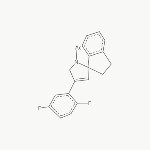 CC(=O)N1CC(c2cc(F)ccc2F)=CC12CCc1ccccc12